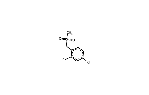 CS(=O)(=O)Cc1ccc(Cl)cc1Cl